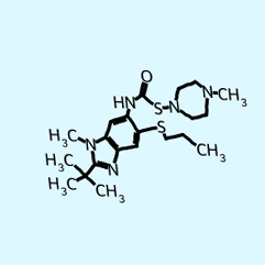 CCCSc1cc2nc(C(C)(C)C)n(C)c2cc1NC(=O)SN1CCN(C)CC1